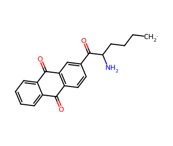 [CH2]CCCC(N)C(=O)c1ccc2c(c1)C(=O)c1ccccc1C2=O